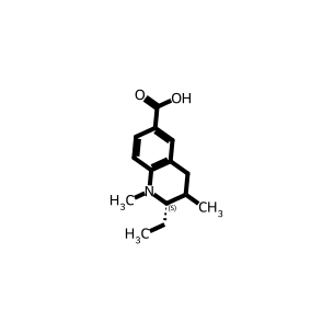 CC[C@H]1C(C)Cc2cc(C(=O)O)ccc2N1C